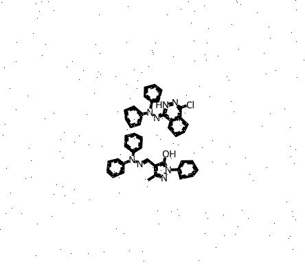 Cc1nn(-c2ccccc2)c(O)c1/C=N/N(c1ccccc1)c1ccccc1.Clc1n[nH]/c(=N\N(c2ccccc2)c2ccccc2)c2ccccc12